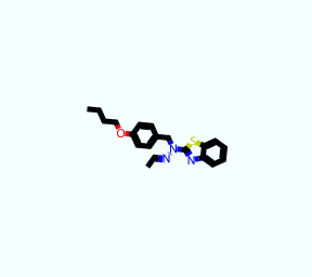 C/C=N/N(Cc1ccc(OCCCC)cc1)c1nc2ccccc2s1